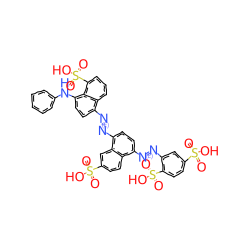 O=S(=O)(O)c1ccc(S(=O)(=O)O)c(/N=N/c2ccc(/N=N/c3ccc(Nc4ccccc4)c4c(S(=O)(=O)O)cccc34)c3cc(S(=O)(=O)O)ccc23)c1